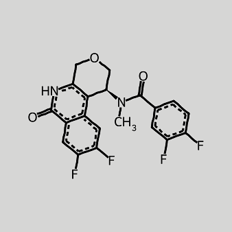 CN(C(=O)c1ccc(F)c(F)c1)[C@@H]1COCc2[nH]c(=O)c3cc(F)c(F)cc3c21